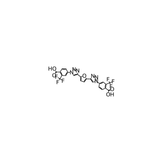 O=C(O)c1ccc(-n2cc(-c3ccc(-c4cn(-c5ccc(C(=O)O)c(C(F)(F)F)c5)nn4)o3)nn2)cc1C(F)(F)F